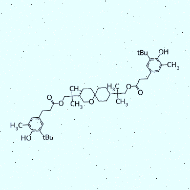 Cc1cc(CCC(=O)OCC(C)(C)C2CCC3(CC2)CCC(C(C)(C)COC(=O)CCc2cc(C)c(O)c(C(C)(C)C)c2)CO3)cc(C(C)(C)C)c1O